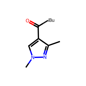 CCC(C)C(=O)c1cn(C)nc1C